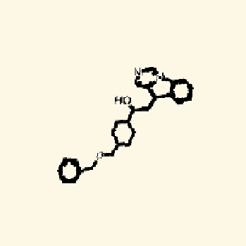 OC(CC1c2ccccc2-n2cncc21)C1CCC(COCc2ccccc2)CC1